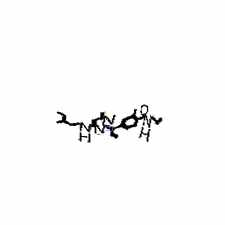 C=C/C(=C1/N=C(C)C=C(NCCC(C)CC)N1C)c1ccc(C(=O)NCCC)c(C)c1